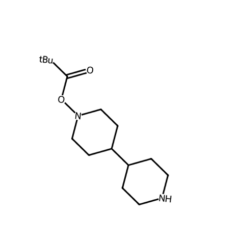 CC(C)(C)C(=O)ON1CCC(C2CCNCC2)CC1